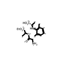 CCOC(=O)C(C)OC(=O)CN.Cc1cccc(C)c1N[C@@H](C)C(=O)O